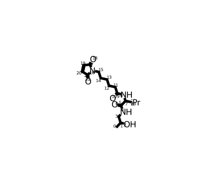 CC(O)CNC(=O)C(NC(=O)CCCCCN1C(=O)C=CC1=O)C(C)C